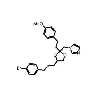 COc1ccc(CCC2(Cn3ccnc3)OCC(CSCc3ccc(Br)cc3)O2)cc1